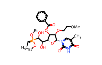 CC=P(OCC)(OCC)[C@@H](O)[C@H](O)[C@H]1O[C@@H](n2cc(C)c(=O)[nH]c2=O)[C@H](OCCOC)[C@@H]1OC(=O)c1ccccc1